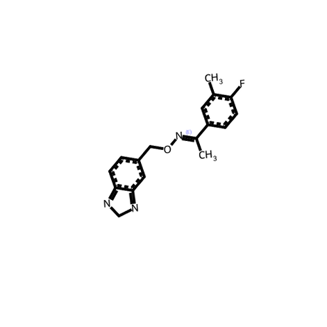 C/C(=N\OCc1ccc2c(c1)=NCN=2)c1ccc(F)c(C)c1